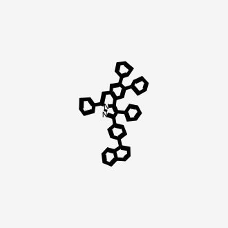 c1ccc(-c2cc3cc(-c4ccccc4)n4nc(-c5ccc(-c6cccc7ccccc67)cc5)c(-c5ccccc5)c4c3cc2-c2ccccc2)cc1